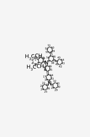 CC1(C)CCC(C)(C)c2cc(N(c3ccc(-c4ccc(N(c5ccccc5)c5ccccc5)cc4)cc3)c3cc(-c4ccccc4)cc(-c4ccccc4)c3)ccc21